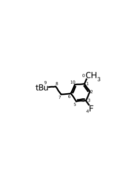 Cc1cc(F)cc(CCC(C)(C)C)c1